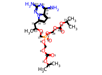 CC(C)OC(=O)OCOP(=O)(COC(C)Cc1ccc2c(N)nc(N)nn12)OCOC(=O)OC(C)C